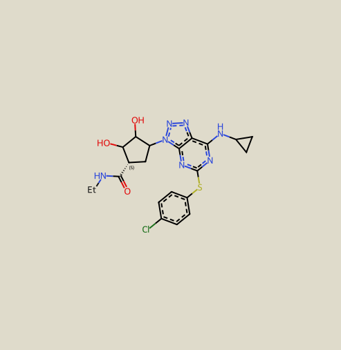 CCNC(=O)[C@H]1CC(n2nnc3c(NC4CC4)nc(Sc4ccc(Cl)cc4)nc32)C(O)C1O